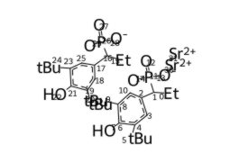 CCC(c1cc(C(C)(C)C)c(O)c(C(C)(C)C)c1)P(=O)([O-])[O-].CCC(c1cc(C(C)(C)C)c(O)c(C(C)(C)C)c1)P(=O)([O-])[O-].[Sr+2].[Sr+2]